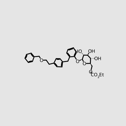 CCOC(=O)OC[C@H]1O[C@@H](Oc2ccccc2Cc2ccc(CCOCc3ccccc3)cc2)[C@H](O)[C@@H](O)[C@@H]1O